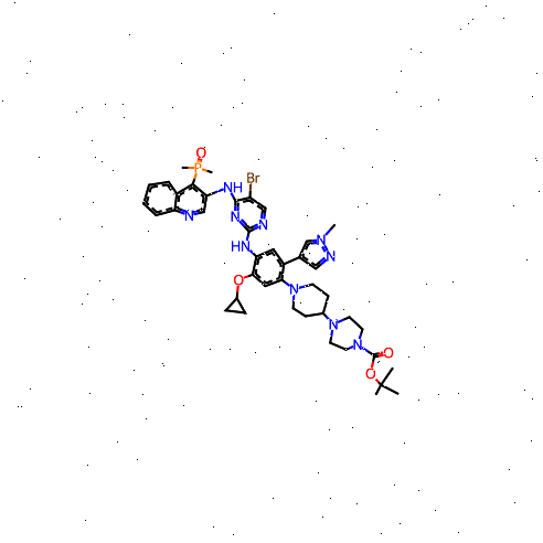 Cn1cc(-c2cc(Nc3ncc(Br)c(Nc4cnc5ccccc5c4P(C)(C)=O)n3)c(OC3CC3)cc2N2CCC(N3CCN(C(=O)OC(C)(C)C)CC3)CC2)cn1